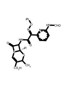 CC(C)ON=C(C(=O)NC1C(=O)N2C=C(C(=O)O)C(C)S[C@H]12)c1cccc(NC=O)n1